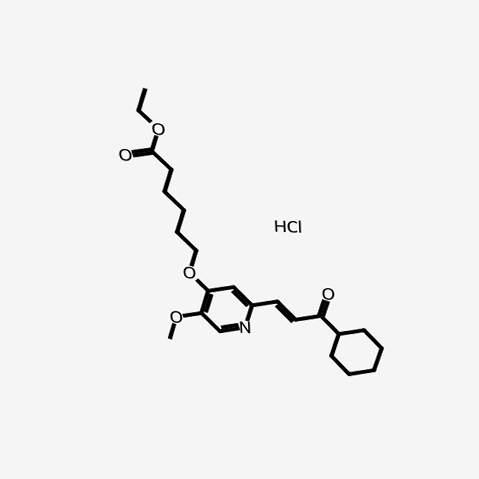 CCOC(=O)CCCCCOc1cc(/C=C/C(=O)C2CCCCC2)ncc1OC.Cl